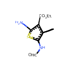 CCOC(=O)c1c(N)sc(NC=O)c1C